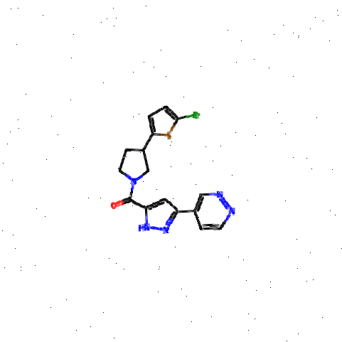 O=C(c1cc(-c2ccnnc2)n[nH]1)N1CCC(c2ccc(Br)s2)C1